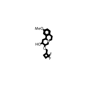 COc1ccc2c(c1)C1CC(O)C(OCC3CCC3(F)F)CN1CC2